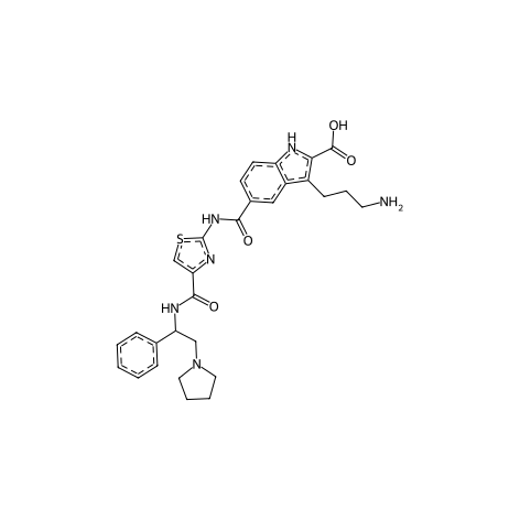 NCCCc1c(C(=O)O)[nH]c2ccc(C(=O)Nc3nc(C(=O)NC(CN4CCCC4)c4ccccc4)cs3)cc12